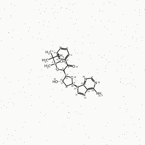 CC(C)(C)[Si](C)(C)OC(C(=O)c1ccccc1)[C@H]1O[C@@H](n2cnc3c(N)ncnc32)C[C@@H]1O